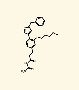 COCCCOc1cc(CCC(=O)NC(=N)N)ccc1-c1cnn(Cc2ccccc2)c1